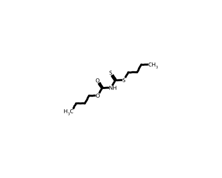 CCCCOC(=O)NC(=S)SCCCC